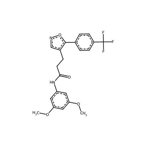 COc1cc(NC(=O)CCc2cnoc2-c2ccc(C(F)(F)F)cc2)cc(OC)c1